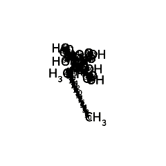 CCCCCCCCCCCCCCCCCC[N+](C)(C)CCC[Si](OCCN(CO)CCS(=O)(=O)O)(OCCN(CCO)CCS(=O)(=O)O)OCCN(CCO)CCS(=O)(=O)O